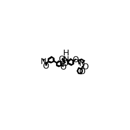 COc1ccc(-c2cccc(C(=O)N(C)C)c2)cc1S(=O)(=O)Nc1cccc(O[C@H]2CCN(C(=O)C3CCCCO3)C2)c1